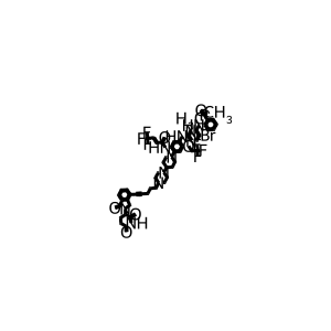 CP(C)(=O)c1ccccc1Nc1nc(Nc2cc(NC(=O)/C=C/C(F)(F)F)c(N3CCC(N4CCN(CCCC#Cc5cccc6c5CN(C5CCC(=O)NC5=O)C6=O)CC4)CC3)cc2OCC(F)(F)F)ncc1Br